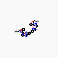 COC(=O)N[C@@H](C(=O)N1CCC[C@H]1c1ncc(-c2ccc(C34CCC(c5cnc([C@@H]6CCCN6C(=O)[C@H](NC(=O)OC)c6ccccc6)[nH]5)(CC3)CC4)cc2)[nH]1)c1ccccc1